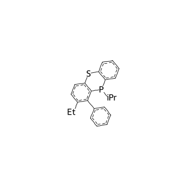 CCc1ccc2c(c1-c1ccccc1)P(C(C)C)c1ccccc1S2